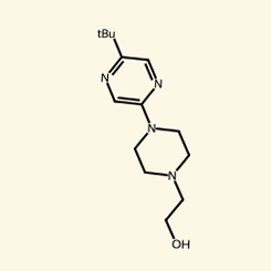 CC(C)(C)c1cnc(N2CCN(CCO)CC2)cn1